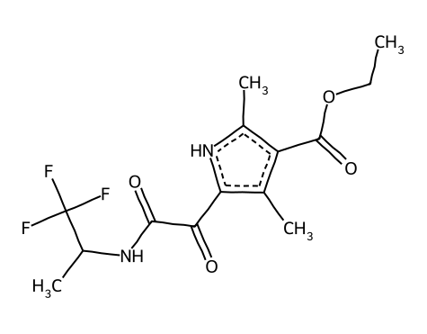 CCOC(=O)c1c(C)[nH]c(C(=O)C(=O)NC(C)C(F)(F)F)c1C